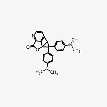 CN(C)c1ccc(C2(c3ccc(N(C)C)cc3)C3c4ccnc5c4C32OC5=O)cc1